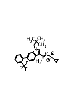 C/C(=N\S(=O)(=O)C1CC1)c1cn(CC(C)(C)C)c2cc(-c3ccccc3C(F)(F)F)ccc12